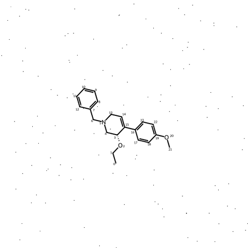 CCO[C@@H]1CN(Cc2ccccc2)CC=C1c1ccc(OC)cc1